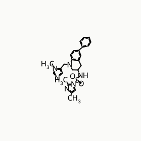 Cc1cn(S(=O)(=O)NC2Cc3cc(-c4ccccc4)ccc3N(Cc3cncn3C)C2)c(C)n1